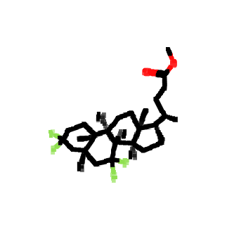 COC(=O)CC[C@@H](C)[C@H]1CC[C@H]2[C@H]3[C@H](CC[C@]12C)[C@@]1(C)CCC(F)(F)C[C@H]1CC3(F)F